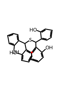 Oc1ccccc1C(SC(c1ccccc1O)c1ccccc1O)c1ccccc1O